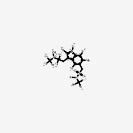 [2H]c1c(CS(=O)(=O)N([2H])C([2H])([2H])[2H])c([2H])c2c(CC([2H])([2H])N(C)C([2H])([2H])[2H])c([2H])n([2H])c2c1[2H]